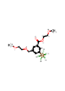 COCCOCc1cc(C(=O)OCCOC)cc(S(F)(F)(F)(F)F)c1